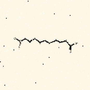 O=C(O)CCCCCCCCC[SiH](Cl)Cl